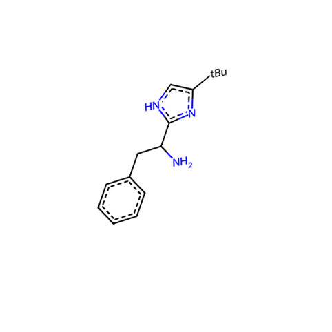 CC(C)(C)c1c[nH]c(C(N)Cc2ccccc2)n1